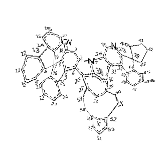 N#Cc1cc2c(c3c1C1(c4ccccc4-c4ccccc41)c1ccccc1-3)c1c3cc(c4c5c6c(ncc5n2c41)C1(CCCC1)c1ccccc1-6)CCc1cccc(c1)CC3